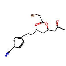 CC(=O)CC(CCCCc1ccc(C#N)cc1)OC(=O)CBr